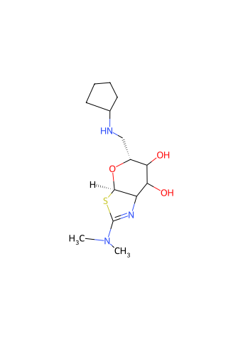 CN(C)C1=NC2C(O)C(O)[C@@H](CNC3CCCC3)O[C@@H]2S1